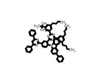 CCCCc1cc(CCCC)cc(-c2nc(-c3cc(CCCC)cc(C(C)(C)C)c3)nc(-c3cc(-c4nc(-c5ccccc5)cc(-c5ccccc5)n4)ccc3-n3c4ccccc4c4cc(-c5ccccc5)ccc43)n2)c1